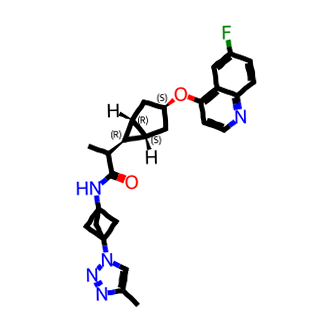 Cc1cn(C23CC(NC(=O)C(C)[C@H]4[C@@H]5C[C@@H](Oc6ccnc7ccc(F)cc67)C[C@@H]54)(C2)C3)nn1